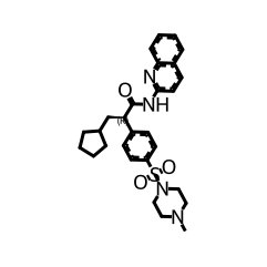 CN1CCN(S(=O)(=O)c2ccc([C@@H](CC3CCCC3)C(=O)Nc3ccc4ccccc4n3)cc2)CC1